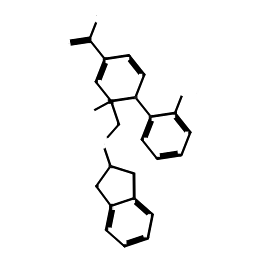 Cc1ccccc1C1C=CC(C(N)=O)=CC1(C)CNC1Cc2ccccc2C1